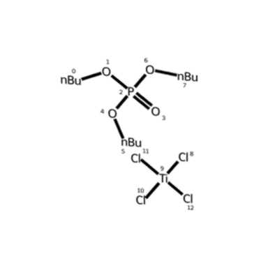 CCCCOP(=O)(OCCCC)OCCCC.[Cl][Ti]([Cl])([Cl])[Cl]